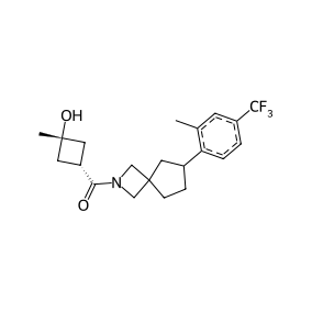 Cc1cc(C(F)(F)F)ccc1C1CCC2(C1)CN(C(=O)[C@H]1C[C@@](C)(O)C1)C2